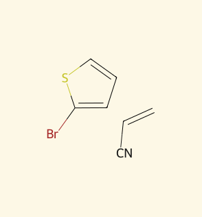 Brc1cccs1.C=CC#N